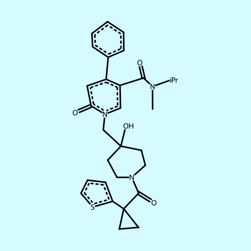 CC(C)N(C)C(=O)c1cn(CC2(O)CCN(C(=O)C3(c4cccs4)CC3)CC2)c(=O)cc1-c1ccccc1